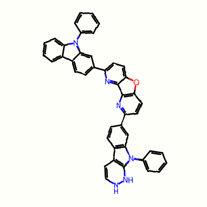 C1=Cc2c(n(-c3ccccc3)c3cc(-c4ccc5oc6ccc(-c7ccc8c9ccccc9n(-c9ccccc9)c8c7)nc6c5n4)ccc23)NN1